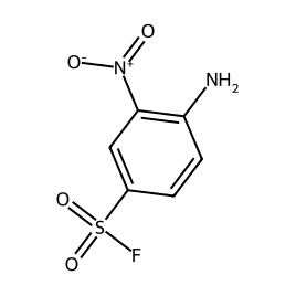 Nc1ccc(S(=O)(=O)F)cc1[N+](=O)[O-]